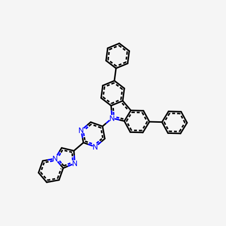 c1ccc(-c2ccc3c(c2)c2cc(-c4ccccc4)ccc2n3-c2cnc(-c3cn4ccccc4n3)nc2)cc1